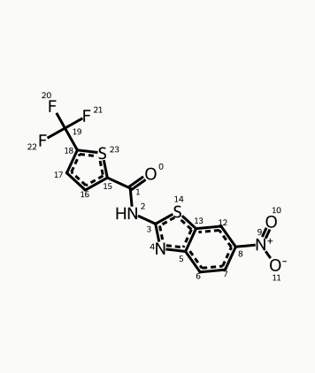 O=C(Nc1nc2ccc([N+](=O)[O-])cc2s1)c1ccc(C(F)(F)F)s1